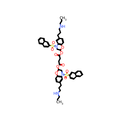 CCCNCCCc1ccc2c(c1)N(S(=O)(=O)c1ccc3ccccc3c1)CC(OC(=O)CCC(=O)OC1CN(S(=O)(=O)c3ccc4ccccc4c3)c3cc(CCCNCCC)ccc3O1)O2